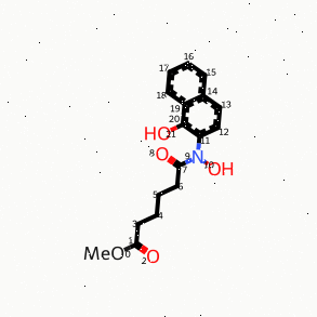 COC(=O)CCCCC(=O)N(O)c1ccc2ccccc2c1O